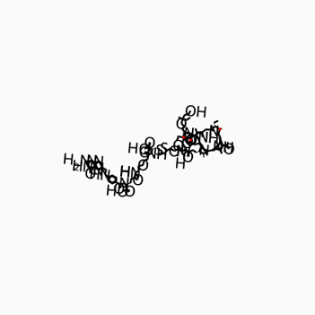 CCC/C(CCOC(C)(CC)CCO)=N\C(=O)c1c2[nH]c(c1C)CC1N=C(/C=c3\[nH]/c(c(C)c3C(C)=O)=C\C3=NC(=C\2CC(=O)OC)/[C@@H](CCC(=O)NNC(=O)OCCSSC[C@H](NC(=O)CCOCCNC(=O)CC[C@H](NC(=O)c2ccc(NCc4cnc5nc(N)[nH]c(=O)c5n4)cc2)C(=O)O)C(=O)O)[C@@H]3C)[C@H](C)[C@H]1CC